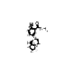 NC(=O)c1cc(N2CCN3CCC[C@@H]3C2)ccc1N